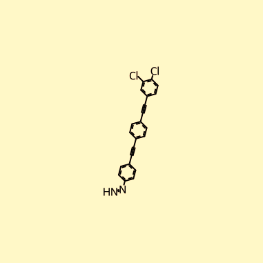 N=Nc1ccc(C#Cc2ccc(C#Cc3ccc(Cl)c(Cl)c3)cc2)cc1